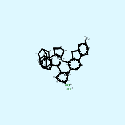 CC(C)(C)c1ccc2c(c1)Cc1c-2ccc(C(C)(C)C)[c]1[Zr]([C]1=C(C23CC4CC(CC(C4)C2)C3)C=CC1)=[C](c1ccccc1)c1ccccc1.Cl.Cl